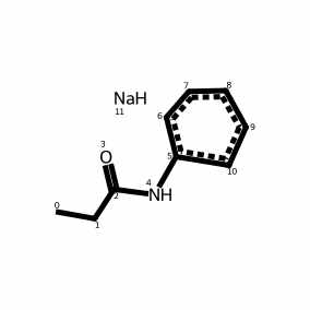 CCC(=O)Nc1ccccc1.[NaH]